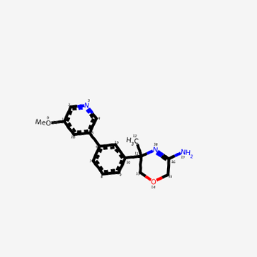 COc1cncc(-c2cccc(C3(C)COCC(N)=N3)c2)c1